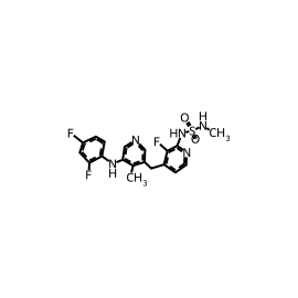 CNS(=O)(=O)Nc1nccc(Cc2cncc(Nc3ccc(F)cc3F)c2C)c1F